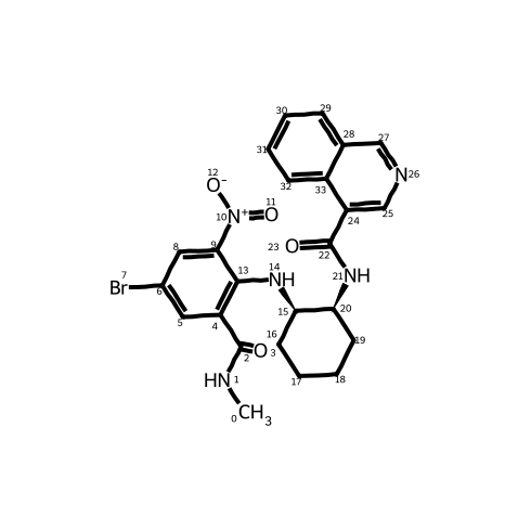 CNC(=O)c1cc(Br)cc([N+](=O)[O-])c1N[C@@H]1CCCC[C@@H]1NC(=O)c1cncc2ccccc12